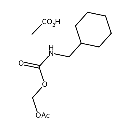 CC(=O)O.CC(=O)OCOC(=O)NCC1CCCCC1